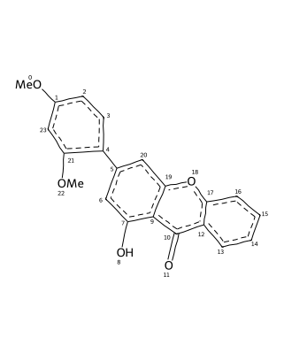 COc1ccc(-c2cc(O)c3c(=O)c4ccccc4oc3c2)c(OC)c1